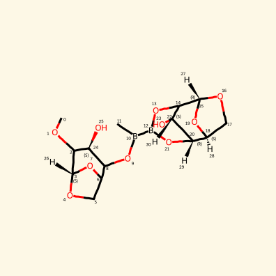 COC1[C@H]2OCC(O2)C(OB(C)B2OC3[C@@H]4OC[C@H](O4)[C@H](O2)[C@@H]3O)[C@@H]1O